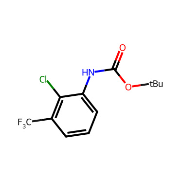 CC(C)(C)OC(=O)Nc1cccc(C(F)(F)F)c1Cl